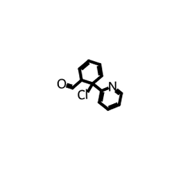 O=CC1C=CC=CC1(Cl)c1ccccn1